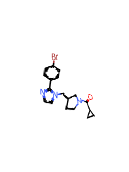 O=C(C1CC1)N1CCC(Cn2ccnc2-c2ccc(Br)cc2)C1